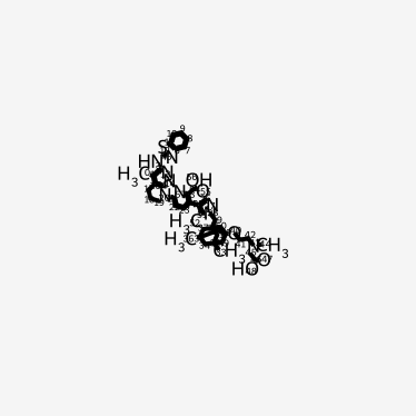 Cc1c(Nc2nc3ccccc3s2)nnc2c1CCCN2c1ccc(-c2cnn(CC34CC5(C)CC(C)(C3)CC(OCCN(C)CC(=O)O)(C5)C4)c2C)c(C(=O)O)n1